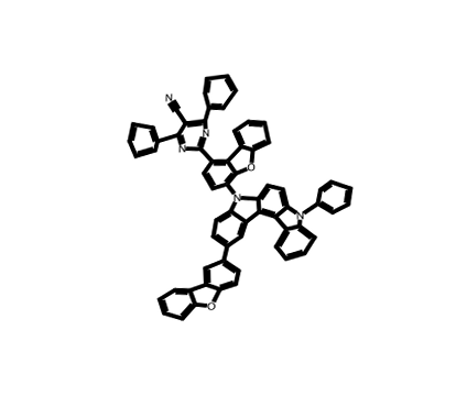 N#Cc1c(-c2ccccc2)nc(-c2ccc(-n3c4ccc(-c5ccc6oc7ccccc7c6c5)cc4c4c5c6ccccc6n(-c6ccccc6)c5ccc43)c3oc4ccccc4c23)nc1-c1ccccc1